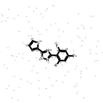 Fc1cc(F)c(-c2noc(-c3cccs3)n2)c(F)c1